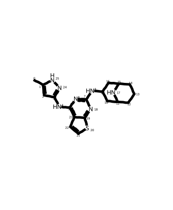 Cc1cc(Nc2nc(NC3CC4CCCC(C3)N4)nc3sccc23)n[nH]1